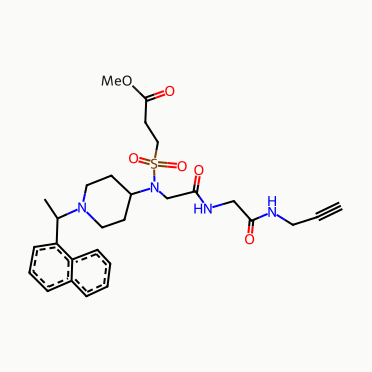 C#CCNC(=O)CNC(=O)CN(C1CCN(C(C)c2cccc3ccccc23)CC1)S(=O)(=O)CCC(=O)OC